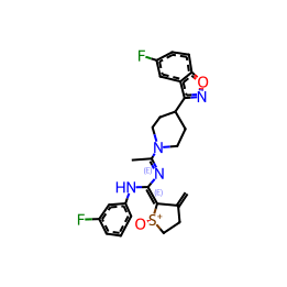 C=C1CC[S+]([O-])/C1=C(/N=C(\C)N1CCC(c2noc3ccc(F)cc23)CC1)Nc1cccc(F)c1